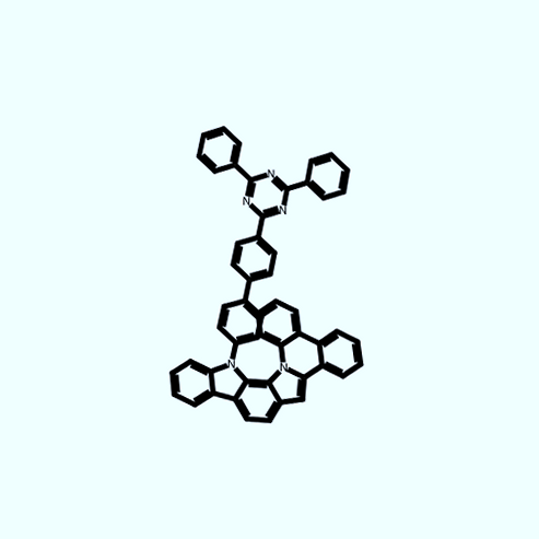 c1ccc(-c2nc(-c3ccccc3)nc(-c3ccc(-c4ccc(-n5c6ccccc6c6ccc7cc8c9ccccc9c9ccccc9n8c7c65)cc4)cc3)n2)cc1